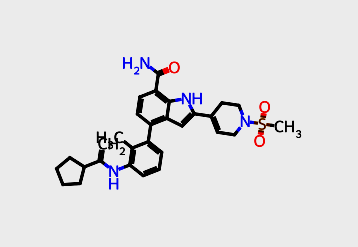 C=C(Nc1cccc(-c2ccc(C(N)=O)c3[nH]c(C4=CCN(S(C)(=O)=O)CC4)cc23)c1C)C1CCCC1